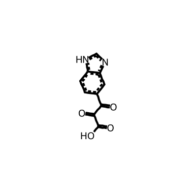 O=C(O)C(=O)C(=O)c1ccc2[nH]cnc2c1